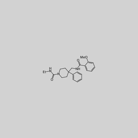 CCNC(=O)N1CCC(CNC(=O)c2ccccc2OC)(c2ccccc2)CC1